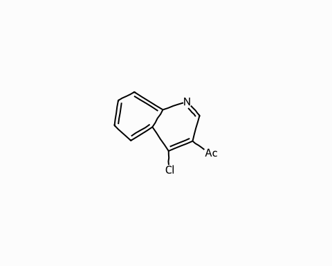 CC(=O)c1cnc2ccccc2c1Cl